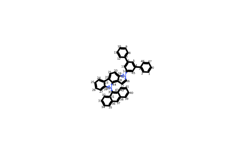 c1ccc(-c2cc(-c3ccccc3)cc(-n3ccc4c3ccc3c5ccccc5n(-c5c6ccccc6cc6ccccc56)c34)c2)cc1